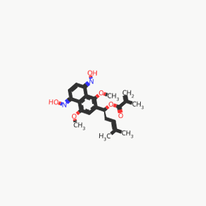 C=C(C)C(=O)O[C@@H](CC=C(C)C)c1cc(OC)c2c(c1OC)/C(=N/O)C=C/C2=N\O